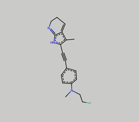 Cc1c(C#Cc2ccc(N(C)CCF)cc2)[nH]c2c1=CCCN=2